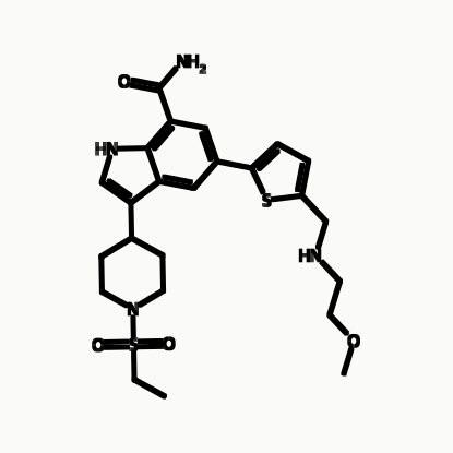 CCS(=O)(=O)N1CCC(c2c[nH]c3c(C(N)=O)cc(-c4ccc(CNCCOC)s4)cc23)CC1